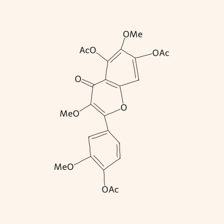 COc1cc(-c2oc3cc(OC(C)=O)c(OC)c(OC(C)=O)c3c(=O)c2OC)ccc1OC(C)=O